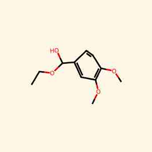 CCOC(O)c1[c]cc(OC)c(OC)c1